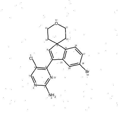 Nc1ncc(Cl)c(C2=CC3(CCOCC3)c3ccc(Br)cc32)n1